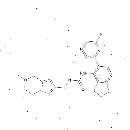 CN1CCc2sc(SNC(=O)Nc3c(-c4cncc(F)c4)ccc4c3CCC4)cc2C1